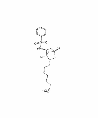 O=C(O)CCC/C=C\C[C@H]1C[C@@H]2C[C@@H]1[C@@H](NS(=O)(=O)c1ccccc1)C2